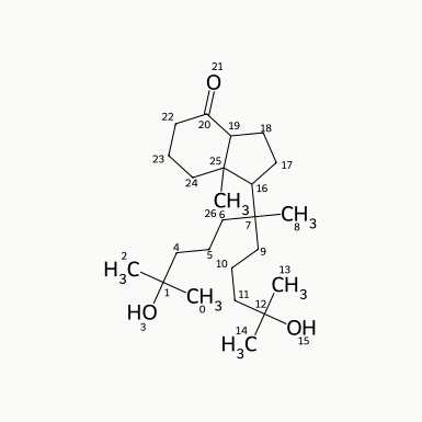 CC(C)(O)CCCC(C)(CCCC(C)(C)O)C1CCC2C(=O)CCCC21C